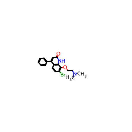 CN(C)CCOc1c(Br)ccc2c(-c3ccccc3)cc(=O)[nH]c12